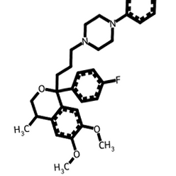 COc1cc2c(cc1OC)C(CCCN1CCN(c3ccccc3)CC1)(c1ccc(F)cc1)OCC2C